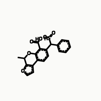 CC1Oc2c(ccc(C(c3ccccc3)[SH](=O)=O)c2C(=O)O)-c2ccoc21